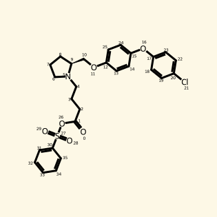 O=C(CCCN1CCC[C@H]1COc1ccc(Oc2ccc(Cl)cc2)cc1)OS(=O)(=O)c1ccccc1